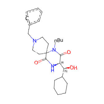 CCCCN1C(=O)[C@@H]([C@@H](O)C2CCCCC2)NC(=O)C12CCN(Cc1ccccc1)CC2